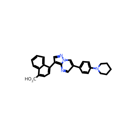 O=C(O)c1ccc(-c2cnn3cc(-c4ccc(N5CCCCC5)cc4)cnc23)c2ccccc12